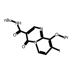 CCCCNC(=O)c1cnc2c(OC(C)C)c(I)ccn2c1=O